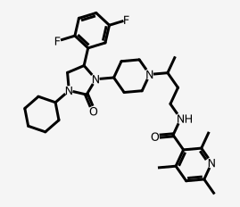 Cc1cc(C)c(C(=O)NCCC(C)N2CCC(N3C(=O)N(C4CCCCC4)CC3c3cc(F)ccc3F)CC2)c(C)n1